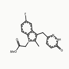 COC(=O)Cn1c(C)c(Cc2ccc(=O)[nH]n2)c2cc(F)ccc21